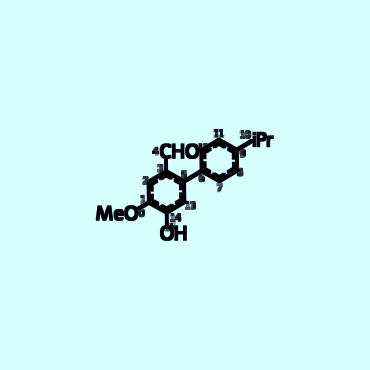 COc1cc(C=O)c(-c2ccc(C(C)C)cc2)cc1O